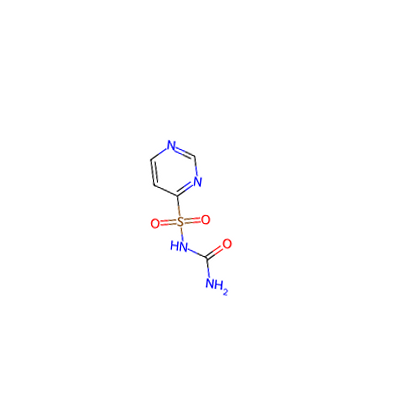 NC(=O)NS(=O)(=O)c1ccncn1